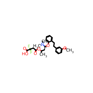 COc1cccc(CCc2ccccc2O[C@@H](CC(C)OC(=O)CC(F)(F)C(=O)O)N(C)C)c1